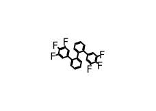 Fc1cc(-c2ccccc2-c2ccccc2-c2cc(F)c(F)c(F)c2)cc(F)c1F